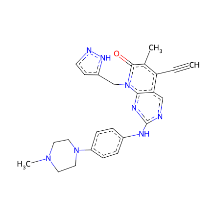 C#Cc1c(C)c(=O)n(Cc2ccn[nH]2)c2nc(Nc3ccc(N4CCN(C)CC4)cc3)ncc12